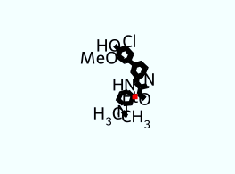 CCC(=O)c1cnc2ccc(-c3cc(Cl)c(O)c(OC)c3)cc2c1NC1CCC(N(C)C)CC1